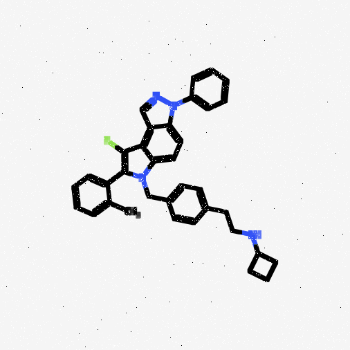 Cc1ccccc1-c1c(F)c2c3cnn(-c4ccccc4)c3ccc2n1Cc1ccc(CCNC2CCC2)cc1